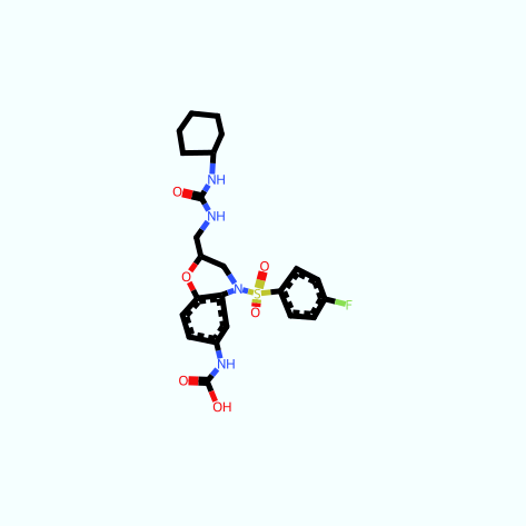 O=C(O)Nc1ccc2c(c1)N(S(=O)(=O)c1ccc(F)cc1)CC(CNC(=O)NC1CCCCC1)O2